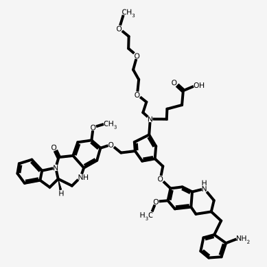 COCCOCCOCCN(CCCC(=O)O)c1cc(COc2cc3c(cc2OC)CC(Cc2ccccc2N)CN3)cc(COc2cc3c(cc2OC)C(=O)N2c4ccccc4C[C@H]2CN3)c1